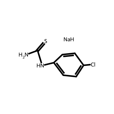 NC(=S)Nc1ccc(Cl)cc1.[NaH]